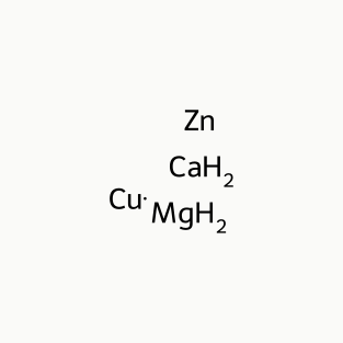 [CaH2].[Cu].[MgH2].[Zn]